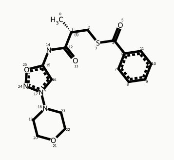 C[C@H](CSC(=O)c1ccccc1)C(=O)[N-]c1c[n+](N2CCOCC2)no1